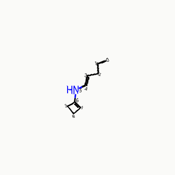 CCCC=CNC1=CCC1